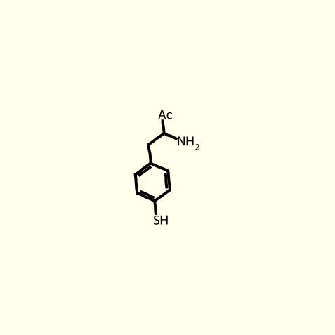 CC(=O)C(N)Cc1ccc(S)cc1